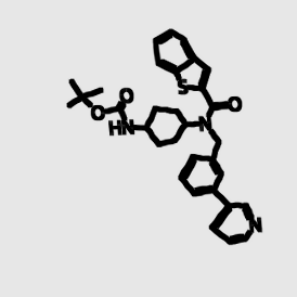 CC(C)(C)OC(=O)NC1CCC(N(Cc2cccc(-c3cccnc3)c2)C(=O)c2cc3ccccc3s2)CC1